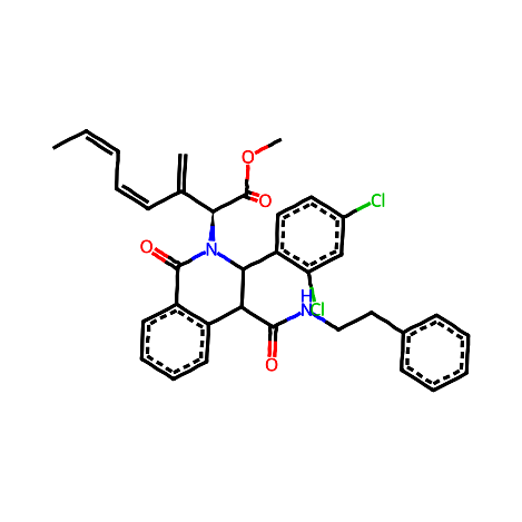 C=C(/C=C\C=C/C)[C@@H](C(=O)OC)N1C(=O)c2ccccc2C(C(=O)NCCc2ccccc2)C1c1ccc(Cl)cc1Cl